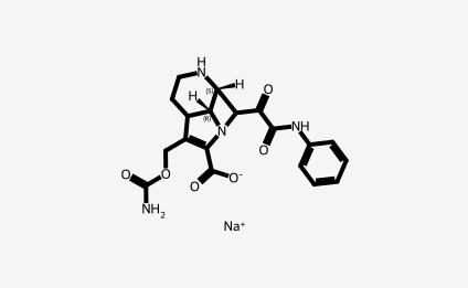 NC(=O)OCC1=C(C(=O)[O-])N2C(C(=O)C(=O)Nc3ccccc3)[C@H]3NCCC1[C@H]32.[Na+]